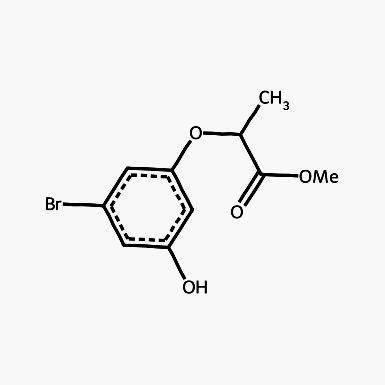 COC(=O)C(C)Oc1cc(O)cc(Br)c1